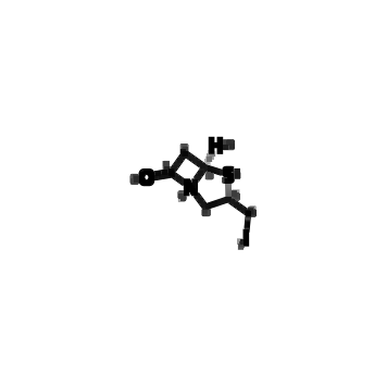 O=C1C[C@H]2SC(CI)CN12